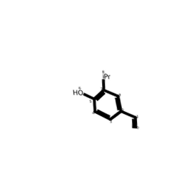 C=Cc1ccc(O)c(C(C)C)c1